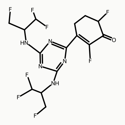 O=C1C(F)=C(c2nc(NC(CF)C(F)F)nc(NC(CF)C(F)F)n2)CCC1F